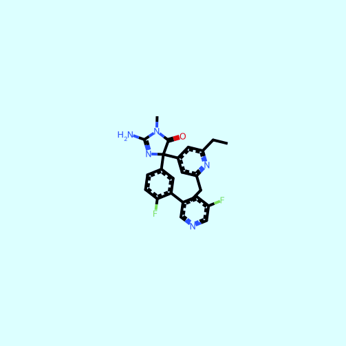 CCc1cc(C2(c3ccc(F)c(-c4cncc(F)c4)c3)N=C(N)N(C)C2=O)cc(CC)n1